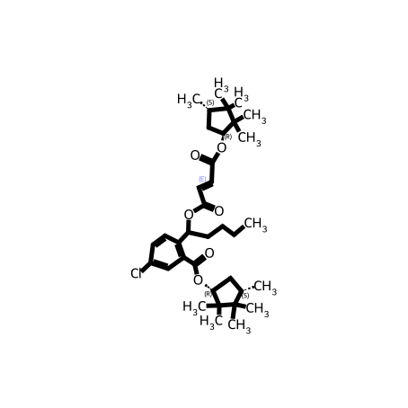 CCCCC(OC(=O)/C=C/C(=O)O[C@@H]1C[C@H](C)C(C)(C)C1(C)C)c1ccc(Cl)cc1C(=O)O[C@@H]1C[C@H](C)C(C)(C)C1(C)C